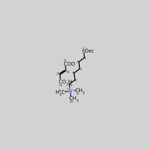 CCCCCCCCCCCCCCCC[N+](C)(C)C.O=C([O-])C=CC(=O)O